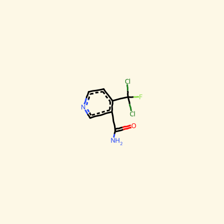 NC(=O)c1cnccc1C(F)(Cl)Cl